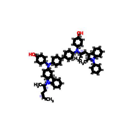 C/C=C\C=C(/C)n1c2ccccc2c2cc(N(c3ccc(O)cc3)c3ccc(-c4ccc(N(/C(C)=C/c5c(C)n(-c6ccccc6)c6ccccc56)c5ccc(O)cc5)cc4)cc3)ccc21